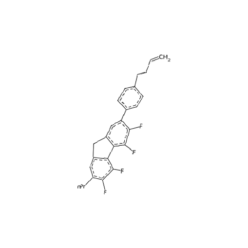 C=CCCc1ccc(-c2cc3c(c(F)c2F)-c2c(cc(CCC)c(F)c2F)C3)cc1